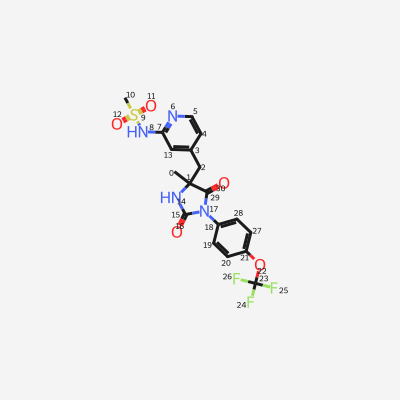 CC1(Cc2ccnc(NS(C)(=O)=O)c2)NC(=O)N(c2ccc(OC(F)(F)F)cc2)C1=O